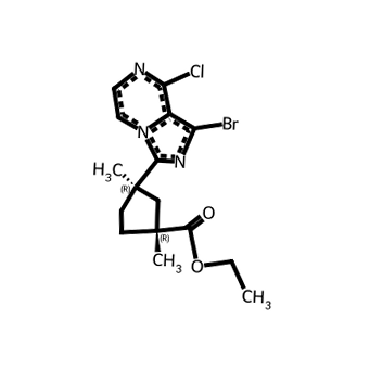 CCOC(=O)[C@]1(C)CC[C@@](C)(c2nc(Br)c3c(Cl)nccn23)C1